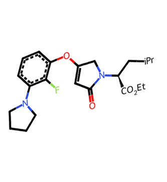 CCOC(=O)[C@H](CC(C)C)N1CC(Oc2cccc(N3CCCC3)c2F)=CC1=O